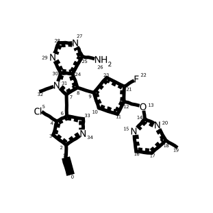 C#Cc1cc(Cl)c(-c2c(-c3ccc(Oc4nccc(C)n4)c(F)c3)c3c(N)ncnc3n2C)cn1